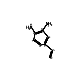 C=Cc1ccc(N)c(N)c1